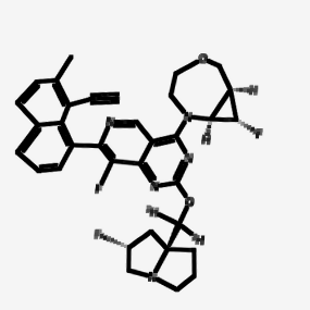 [2H]C([2H])(Oc1nc(N2CCOC[C@H]3[C@H](F)[C@H]32)c2cnc(-c3cccc4ccc(C)c(C#C)c34)c(F)c2n1)[C@@]12CCCN1C[C@H](F)C2